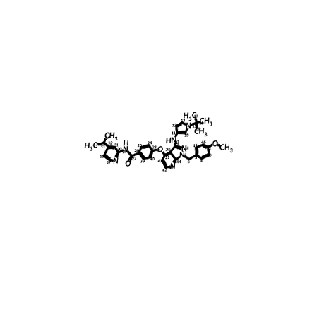 COc1ccc(Cn2nc(Nc3ccn(C(C)(C)C)c3)c3c(Oc4ccc(C(=O)Nc5cc(C(C)C)ccn5)cc4)ccnc32)cc1